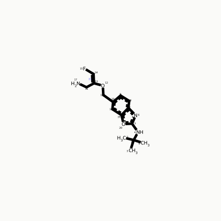 CC(C)(C)Nc1nc2ccc(CO/C(=C/F)CN)cc2o1